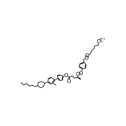 C=C(CCC(=O)Oc1ccc(-c2ccc(C3CCC(CCCCCC)CC3)cc2C)cc1)OOc1ccc(COOCCCCC[CH-][CH2+])cc1